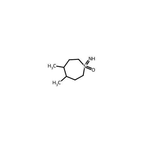 CC1CCS(=N)(=O)CCC1C